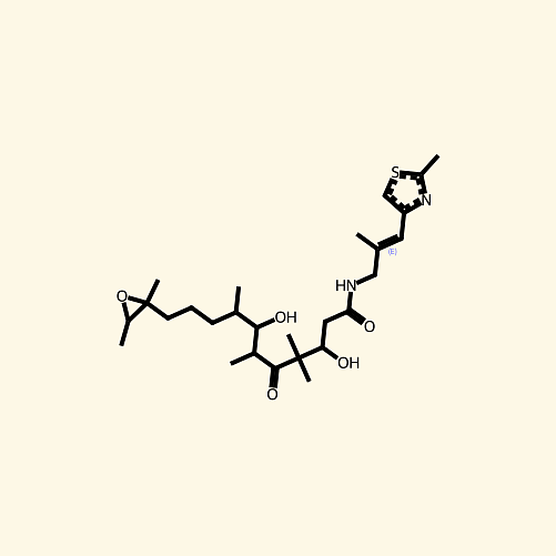 C/C(=C\c1csc(C)n1)CNC(=O)CC(O)C(C)(C)C(=O)C(C)C(O)C(C)CCCC1(C)OC1C